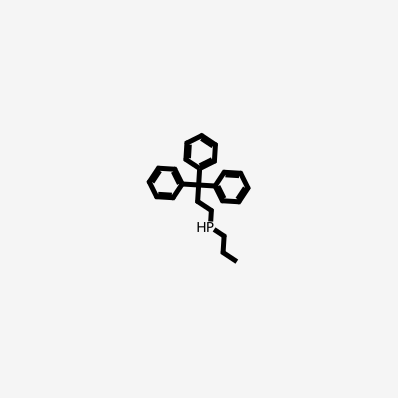 CCCPCCC(c1ccccc1)(c1ccccc1)c1ccccc1